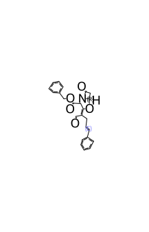 O=CC(C/C=C/c1ccccc1)=C1O[C@@H]2CC(=O)N2C1C(=O)OCc1ccccc1